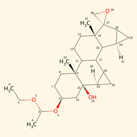 CCOC(C)O[C@H]1CC[C@]2(C)C3CC[C@@]4(C)C(C3C3C[C@H]3[C@]2(O)C1)[C@@H]1CC1[C@@]41CO1